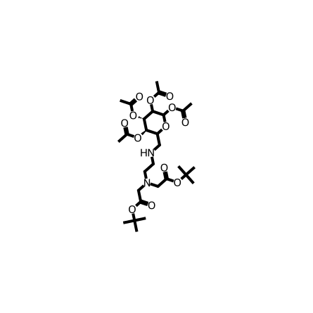 CC(=O)OC1OC(CNCCN(CC(=O)OC(C)(C)C)CC(=O)OC(C)(C)C)[C@@H](OC(C)=O)[C@H](OC(C)=O)C1OC(C)=O